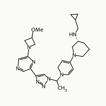 COC1CN(c2cncc(-c3cn(C(C)N4C=CC(N5CCC[C@@H](NCC6CC6)C5)=CC4)nn3)n2)C1